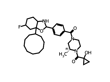 C[C@@H]1CN(C(=O)c2ccc(C3NC4CCC(F)CC4(C4CCCCCCCCC4)O3)cc2)CCN1C(=O)C1(O)CC1